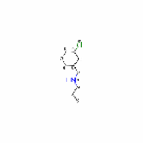 [CH2]CCNCC1CCCC(Cl)C1